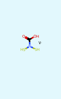 O=C(O)N(S)S.[V]